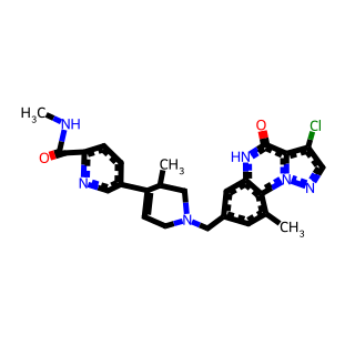 CNC(=O)c1ccc(C2=CCN(Cc3cc(C)c4c(c3)[nH]c(=O)c3c(Cl)cnn34)CC2C)cn1